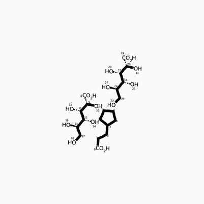 O=C(O)CCC1CCCC1.O=C(O)[C@H](O)[C@@H](O)[C@H](O)[C@H](O)CO.O=C(O)[C@H](O)[C@@H](O)[C@H](O)[C@H](O)CO